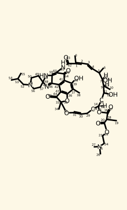 C/C1=C/C=C/C(C)[C@H](O)[C@@H](C)C(O)C[C@H](OC(=O)C(C)C(=O)OCCN(C)C)CC/C=C/OC2(C)Oc3c(C)c(O)c4c(c3C2=O)C2=NC3(CCN(CC(C)C)CC3)NC2=C(NC1=O)C4=O